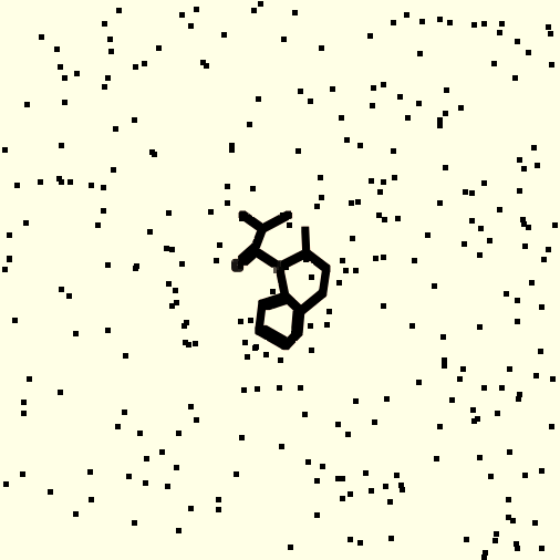 CC(C)C(=O)N1c2ccccc2CCC1C